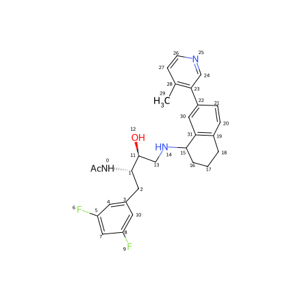 CC(=O)N[C@@H](Cc1cc(F)cc(F)c1)[C@@H](O)CNC1CCCc2ccc(-c3cnccc3C)cc21